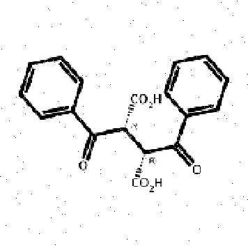 O=C(O)[C@@H](C(=O)c1ccccc1)[C@@H](C(=O)O)C(=O)c1ccccc1